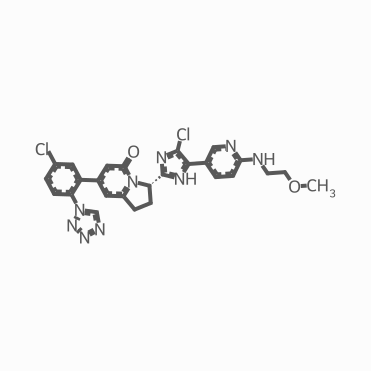 COCCNc1ccc(-c2[nH]c([C@@H]3CCc4cc(-c5cc(Cl)ccc5-n5cnnn5)cc(=O)n43)nc2Cl)cn1